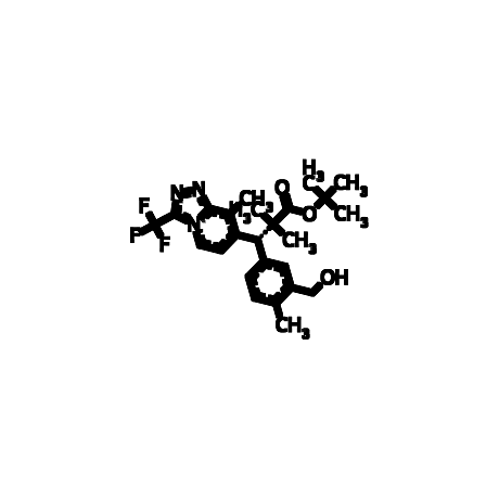 Cc1ccc([C@H](c2ccn3c(C(F)(F)F)nnc3c2C)C(C)(C)C(=O)OC(C)(C)C)cc1CO